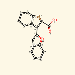 O=C(O)c1sc2ccccc2c1-c1cc2ccccc2o1